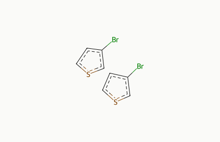 Brc1ccsc1.Brc1ccsc1